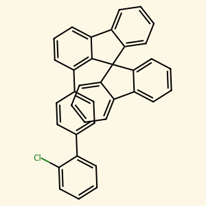 Clc1ccccc1-c1ccc(-c2cccc3c2C2(c4ccccc4-c4ccccc42)c2ccccc2-3)cc1